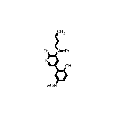 C=CCCN(CCC)c1cc(-c2cc(NC)ccc2C)cnc1CC